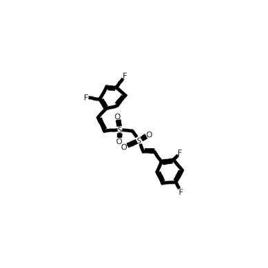 O=S(=O)(/C=C\c1ccc(F)cc1F)CS(=O)(=O)/C=C/c1ccc(F)cc1F